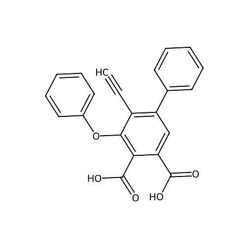 C#Cc1c(-c2ccccc2)cc(C(=O)O)c(C(=O)O)c1Oc1ccccc1